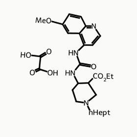 CCCCCCCN1CCC(NC(=O)Nc2ccnc3ccc(OC)cc23)C(C(=O)OCC)C1.O=C(O)C(=O)O